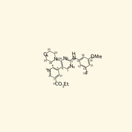 CCOC(=O)c1cncc(-c2cnc(Nc3cc(F)cc(OC)c3)nc2N2CCOCC2)c1